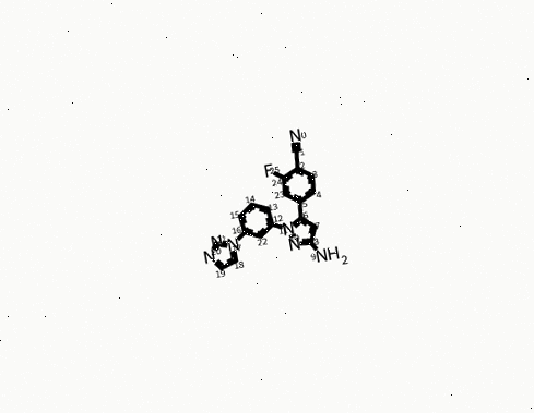 N#Cc1ccc(-c2cc(N)nn2-c2cccc(-n3ccnn3)c2)cc1F